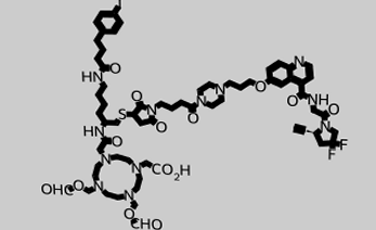 C#C[C@H]1CC(F)(F)CN1C(=O)CNC(=O)c1ccnc2ccc(OCCCN3CCN(C(=O)CCCN4C(=O)CC(SCC(CCCCNC(=O)CCCc5ccc(I)cc5)NC(=O)CN5CCN(COC=O)CCN(COC=O)CCN(CC(=O)O)CC5)C4=O)CC3)cc12